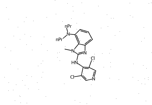 CCCN(CCC)c1cccc2nc(Nc3c(Cl)cncc3Cl)n(C)c12